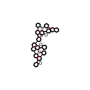 c1cc(-c2ccc3ccccc3c2)cc(N(c2ccccc2-c2ccc3c(c2)oc2ccc(-c4ccc5ccc(-c6ccccc6N(c6ccccc6-c6ccc7c(c6)oc6ccccc67)c6cccc7oc8ccccc8c67)cc5c4)cc23)c2cccc3oc4ccccc4c23)c1